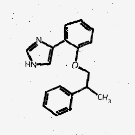 CC(COc1ccccc1-c1c[nH]cn1)c1ccccc1